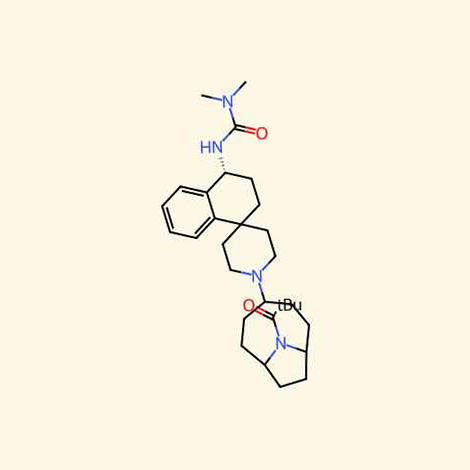 CN(C)C(=O)N[C@@H]1CCC2(CCN(C3CCC4CCC(CC3)N4C(=O)C(C)(C)C)CC2)c2ccccc21